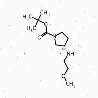 COCCN[C@H]1CCN(C(=O)OC(C)(C)C)C1